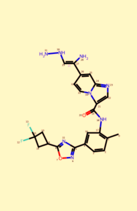 Cc1ccc(-c2noc(C3CC(F)(F)C3)n2)cc1NC(=O)c1cnc2cc(/C(N)=C/NN)ccn12